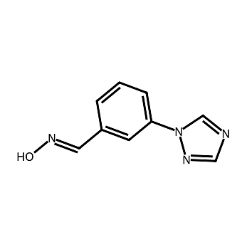 ON=Cc1cccc(-n2cncn2)c1